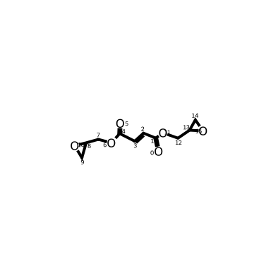 O=C(C=CC(=O)OCC1CO1)OCC1CO1